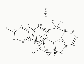 CC1=C(c2ccc(C)cc2)c2c3cccc2[Si](C)(C)c2cccc4c2C(c2ccc(C)cc2)=C(C)[CH]4[Ti+2][CH]13.[Cl-].[Cl-]